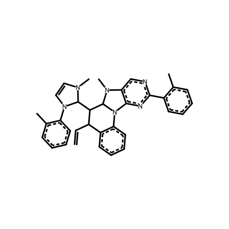 C=CC1c2ccccc2N2c3nc(-c4ccccc4C)ncc3N(C)C2C1C1N(C)C=CN1c1ccccc1C